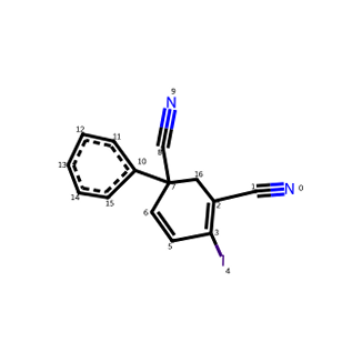 N#CC1=C(I)C=CC(C#N)(c2ccccc2)C1